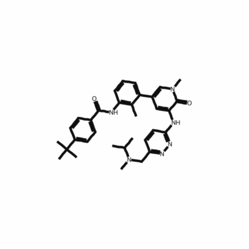 Cc1c(NC(=O)c2ccc(C(C)(C)C)cc2)cccc1-c1cc(Nc2ccc(CN(C)C(C)C)nn2)c(=O)n(C)c1